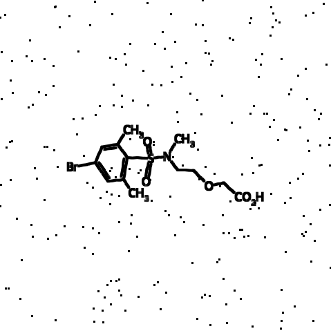 Cc1cc(Br)cc(C)c1S(=O)(=O)N(C)CCOCC(=O)O